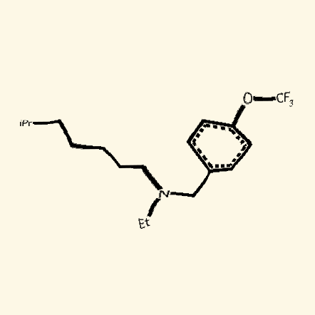 CCN(CCCCCC(C)C)Cc1ccc(OC(F)(F)F)cc1